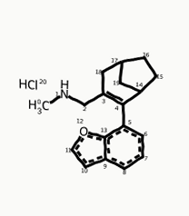 CNCC1=C(c2cccc3ccoc23)C2CCC(C1)C2.Cl